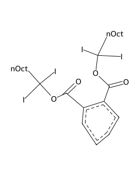 CCCCCCCCC(I)(I)OC(=O)c1ccccc1C(=O)OC(I)(I)CCCCCCCC